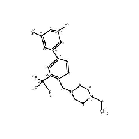 CCN1CCN(Cc2ccc(-c3cc(F)cc(Br)c3)cc2C(F)(F)F)CC1